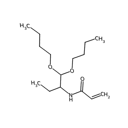 C=CC(=O)NC(CC)C(OCCCC)OCCCC